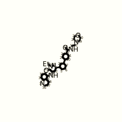 CCn1nc(-c2cccc(-c3ccc(C(=O)NCCN4CCOCC4)cc3)c2)cc(Nc2cccc3ncccc23)c1=O